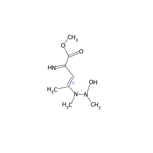 COC(=O)C(=N)/C=C(\C)N(C)N(C)O